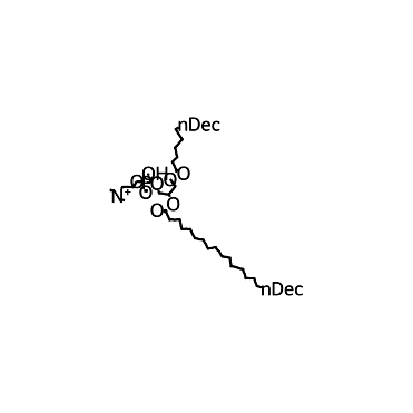 CCCCCCCCCCCCCCCCCCCCCCCCCC(=O)OC(COC(=O)CCCCCCCCCCCCCCC)COP(=O)(O)OCC[N+](C)(C)C